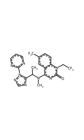 CC(c1ncnn1-c1ncccn1)N(C)c1nc(=O)n(CC(F)(F)F)c2ccc(C(F)(F)F)cc12